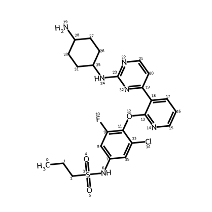 CCCS(=O)(=O)Nc1cc(F)c(Oc2ncccc2-c2ccnc(NC3CCC(N)CC3)n2)c(Cl)c1